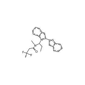 CCC(N(C)C(=O)CC(F)(F)F)n1c(-c2cc3ccccc3s2)cc2ccccc21